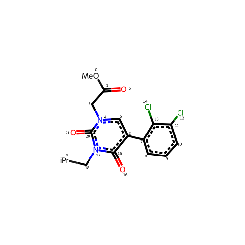 COC(=O)Cn1cc(-c2cccc(Cl)c2Cl)c(=O)n(CC(C)C)c1=O